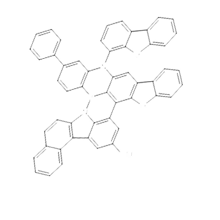 CC(C)(C)c1cc2c3c(c1)c1c4ccccc4ccc1n3B1c3ccc(-c4ccccc4)cc3N(c3cccc4c3oc3ccccc34)c3cc4c(oc5ccccc54)c-2c31